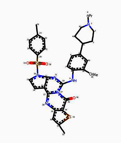 CCCN1CCC(c2ccc(Nc3nc4c(ccn4S(=O)(=O)c4ccc(C)cc4)c4nc5cc(C)sc5c(=O)n34)c(OC)c2)CC1